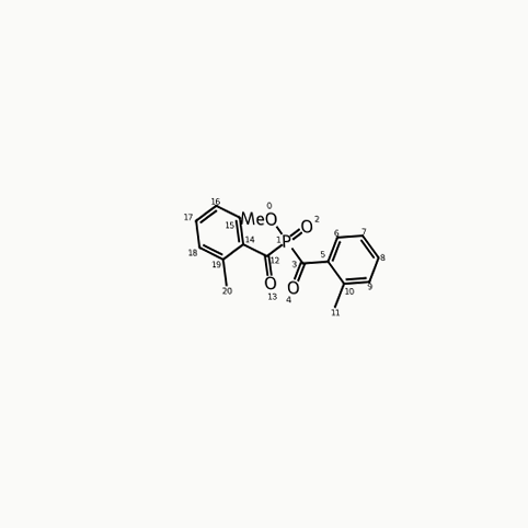 COP(=O)(C(=O)c1ccccc1C)C(=O)c1ccccc1C